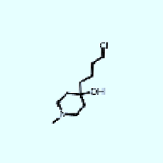 CN1CCC(O)(CCCCCl)CC1